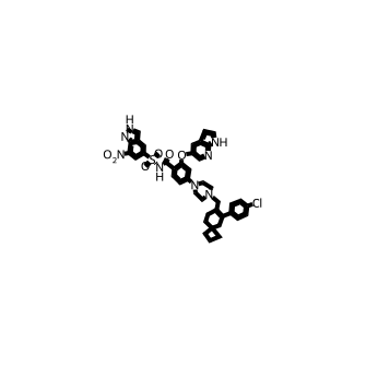 O=C(NS(=O)(=O)c1cc([N+](=O)[O-])c2n[nH]cc2c1)c1ccc(N2CCN(CC3=C(c4ccc(Cl)cc4)CC4(CCC4)CC3)CC2)cc1Oc1cnc2[nH]ccc2c1